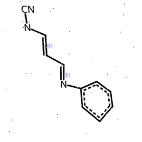 N#C[N]/C=C/C=N/c1ccccc1